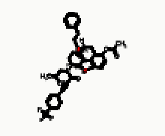 CC(=O)Oc1ccc2c3c1C[C@@H]1[C@@H]4CC[C@H](N(CC(C)C)C(=O)C#Cc5ccc(C(F)(F)F)cc5)[C@H](O2)[C@]34CCN1CCc1ccccc1